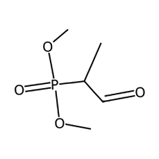 COP(=O)(OC)C(C)C=O